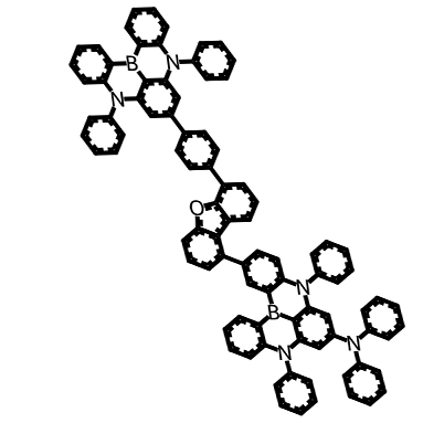 c1ccc(N(c2ccccc2)c2cc3c4c(c2)N(c2ccccc2)c2ccc(-c5cccc6oc7c(-c8ccc(-c9cc%10c%11c(c9)N(c9ccccc9)c9ccccc9B%11c9ccccc9N%10c9ccccc9)cc8)cccc7c56)cc2B4c2ccccc2N3c2ccccc2)cc1